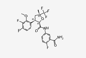 COc1c([C@H]2C[C@](C)(C(F)(F)F)O[C@H]2C(=O)Nc2ccc(F)c(C(N)=O)c2)ccc(F)c1F